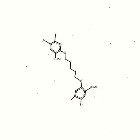 COc1cc(C(C)=O)c(C)cc1OCCCCCOc1cc(C)c(C(C)=O)cc1OC